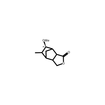 CO[C@@H]1C(C)C2CC1C1C(=O)OCC21